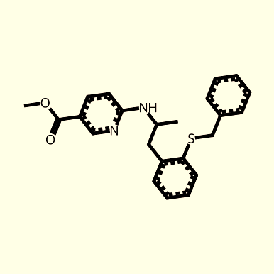 COC(=O)c1ccc(NC(C)Cc2ccccc2SCc2ccccc2)nc1